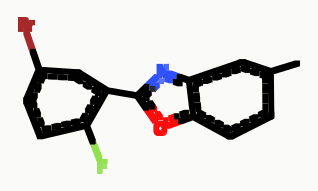 Cc1ccc2oc(-c3cc(Br)ccc3F)nc2c1